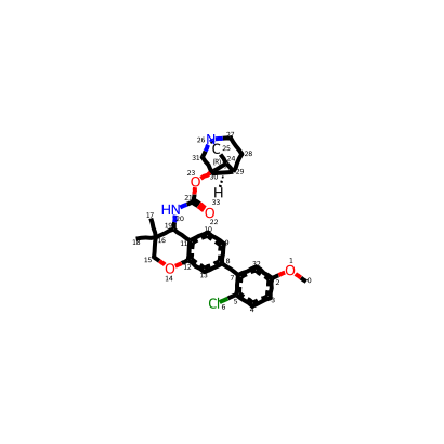 COc1ccc(Cl)c(-c2ccc3c(c2)OCC(C)(C)C3NC(=O)O[C@H]2CN3CCC2CC3)c1